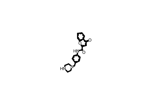 O=C(Nc1ccc(CN2CCNCC2)cc1)c1cc(=O)c2ccccc2o1